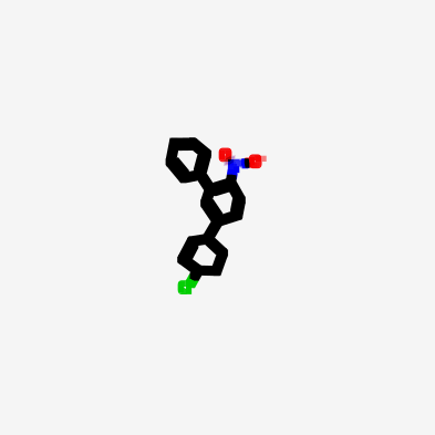 O=[N+]([O-])c1ccc(C2C=CC(Cl)CC2)cc1-c1ccccc1